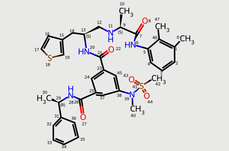 Cc1cccc(NC(=O)[C@H](C)NC[C@H](Cc2ccsc2)NC(=O)c2cc(C(=O)N[C@H](C)c3ccccc3)cc(N(C)S(C)(=O)=O)c2)c1C